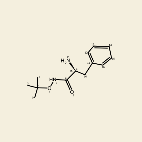 CC(C)(C)ONC(=O)[C@@H](N)Cc1ccccc1